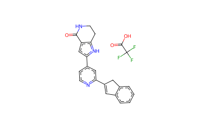 O=C(O)C(F)(F)F.O=C1NCCc2[nH]c(-c3ccnc(C4=Cc5ccccc5C4)c3)cc21